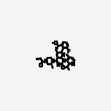 C=CC(=O)N1CCN(c2nc(=O)n(-c3c(C)ccnc3C(C)C)c3nc(-c4c(F)cccc4COC)c(F)cc23)[C@@H](C)C1